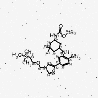 CC(C)(C)OC(=O)NC1CC(Nc2cc(-c3ncn(COCC[Si](C)(C)C)n3)ccc2N)CC(F)(F)C1